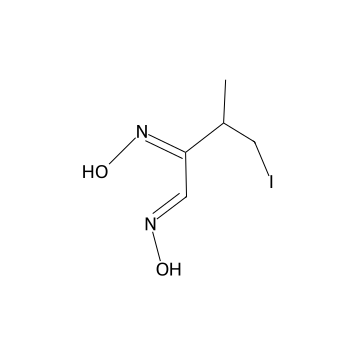 CC(CI)C(C=NO)=NO